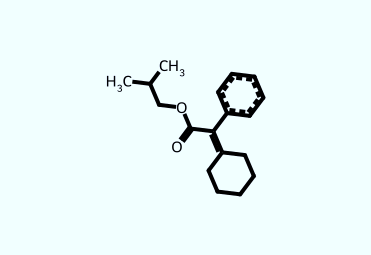 CC(C)COC(=O)C(=C1CCCCC1)c1ccccc1